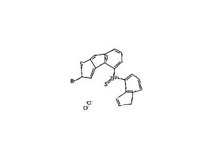 [Cl-].[Cl-].[S]=[Zr+2]([c]1cccc2c1C=CC2)[c]1cccc2c1C1=CC(Br)SC1=C2